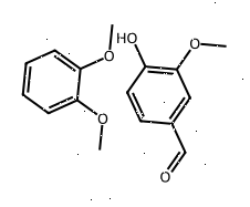 COc1cc(C=O)ccc1O.COc1ccccc1OC